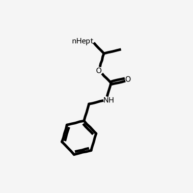 CCCCCCCC(C)OC(=O)NCc1ccccc1